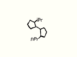 CCCC1CCCC1[C]1CCCC1C(C)C